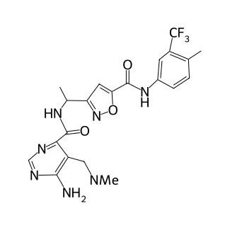 CNCc1c(N)ncnc1C(=O)NC(C)c1cc(C(=O)Nc2ccc(C)c(C(F)(F)F)c2)on1